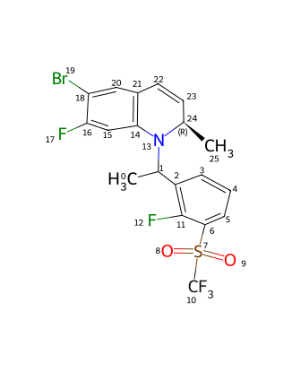 CC(c1cccc(S(=O)(=O)C(F)(F)F)c1F)N1c2cc(F)c(Br)cc2C=C[C@H]1C